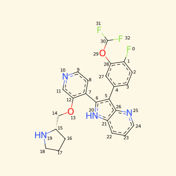 Fc1ccc(-c2c(-c3ccncc3OC[C@@H]3CCCN3)[nH]c3cccnc23)cc1OC(F)F